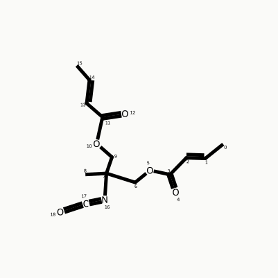 CC=CC(=O)OCC(C)(COC(=O)C=CC)N=C=O